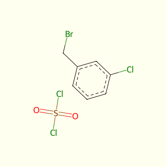 Clc1cccc(CBr)c1.O=S(=O)(Cl)Cl